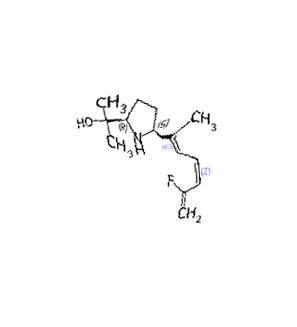 C=C(F)/C=C\C=C(/C)[C@@H]1CC[C@H](C(C)(C)O)N1